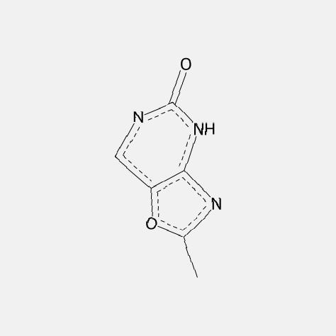 Cc1nc2[nH]c(=O)ncc2o1